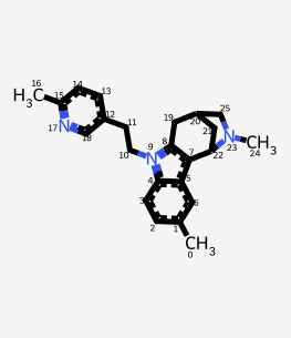 Cc1ccc2c(c1)c1c(n2CCc2ccc(C)nc2)CC2CC1N(C)C2